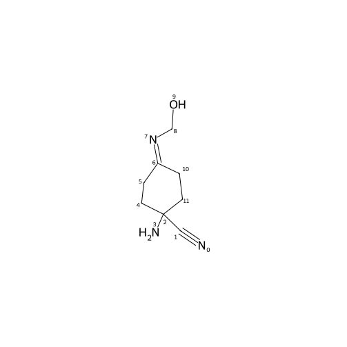 N#CC1(N)CCC(=NCO)CC1